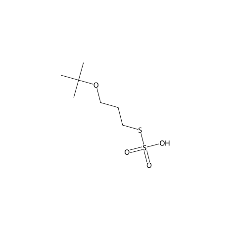 CC(C)(C)OCCCSS(=O)(=O)O